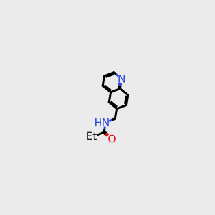 CCC(=O)NCc1ccc2ncccc2c1